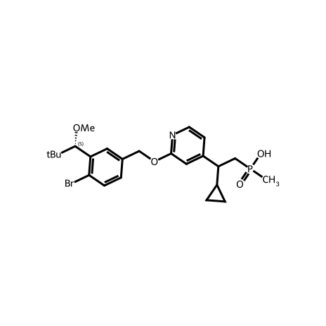 CO[C@H](c1cc(COc2cc(C(CP(C)(=O)O)C3CC3)ccn2)ccc1Br)C(C)(C)C